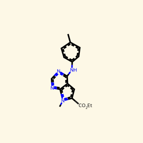 CCOC(=O)c1cc2c(Nc3ccc(C)cc3)ncnc2n1C